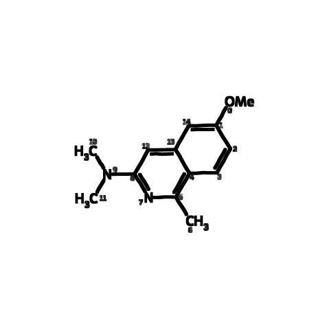 COc1ccc2c(C)nc(N(C)C)cc2c1